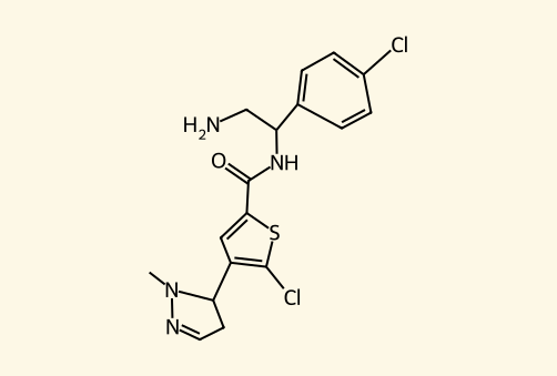 CN1N=CCC1c1cc(C(=O)NC(CN)c2ccc(Cl)cc2)sc1Cl